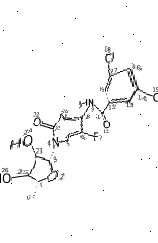 C[C@H]1O[C@@H](n2cc(F)c(NC(=O)c3cc(Cl)cc(Cl)c3)nc2=O)C(O)C1O